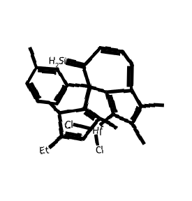 CCC1=CC(C)=C(C2(c3cccc(C)c3)C(=[SiH2])C=CC=C3C(C)=C(C)[C]([Hf]([Cl])[Cl])=C32)C1C